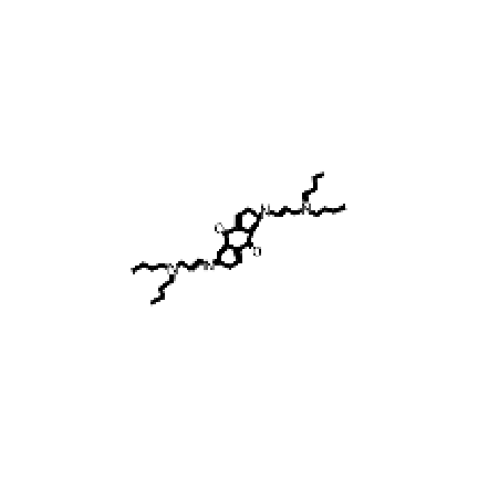 CCCCN(CC=CN=C1C=C2C(=O)C3=CCC(=NC=CCN(CCCC)CCCC)C=C3C(=O)C2=CC1)CCCC